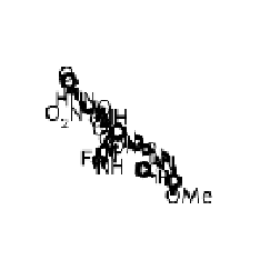 COc1ccc(CN2CCN(C3CC4(CCN(c5ccc(C(=O)NS(=O)(=O)c6cnc(NCC7(F)CCOCC7)c([N+](=O)[O-])c6)c(Oc6cc7c(F)c[nH]c7nc6OC)c5)CC4)C3)[C@H](c3ccccc3C(C)C)C2)cc1